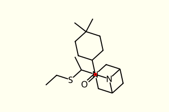 CCSC(C)N1CC2CC(C1)N2C(=O)C1CCC(C)(C)CC1